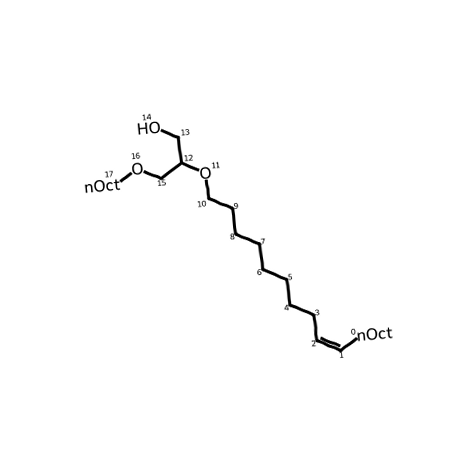 CCCCCCCC/C=C\CCCCCCCCOC(CO)COCCCCCCCC